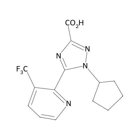 O=C(O)c1nc(-c2ncccc2C(F)(F)F)n(C2CCCC2)n1